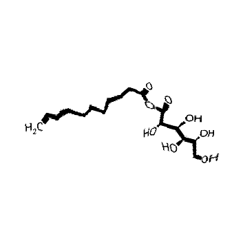 C=CCCCCCCCCC(=O)OC(=O)[C@H](O)[C@@H](O)[C@H](O)[C@H](O)CO